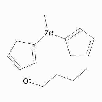 CCCC[O-].[CH3][Zr+]([C]1=CC=CC1)[C]1=CC=CC1